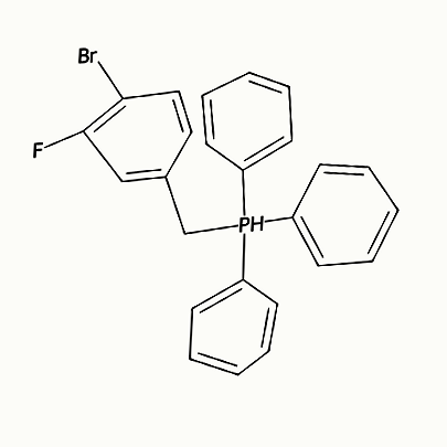 Fc1cc(C[PH](c2ccccc2)(c2ccccc2)c2ccccc2)ccc1Br